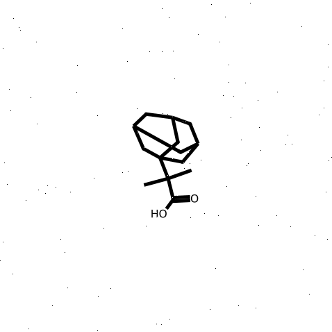 CC(C)(C(=O)O)C12CC3CC(CC(C3)C1)C2